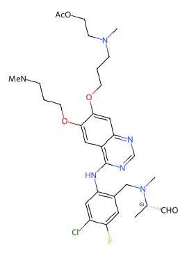 CNCCCOc1cc2c(Nc3cc(Cl)c(F)cc3CN(C)[C@@H](C)C=O)ncnc2cc1OCCCN(C)CCOC(C)=O